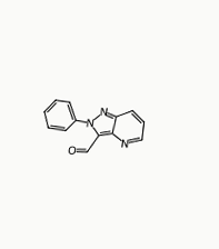 O=Cc1c2ncccc2nn1-c1ccccc1